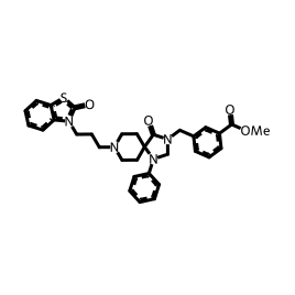 COC(=O)c1cccc(CN2CN(c3ccccc3)C3(CCN(CCCn4c(=O)sc5ccccc54)CC3)C2=O)c1